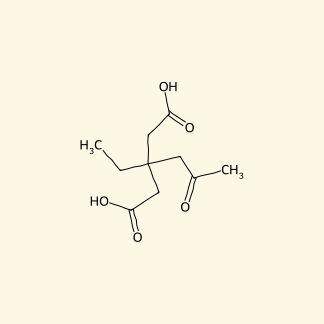 CCC(CC(C)=O)(CC(=O)O)CC(=O)O